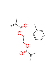 C=C(C)C(=O)OCCOC(=O)C(=C)C.Cc1ccccc1